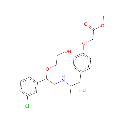 COC(=O)COc1ccc(CC(C)NCC(OCCO)c2cccc(Cl)c2)cc1.Cl